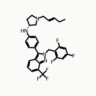 CCC=CCN1CC[C@@H](Nc2ccc(-c3c4cccc(C(F)(F)F)c4nn3Cc3c(F)cc(F)cc3F)cc2)C1